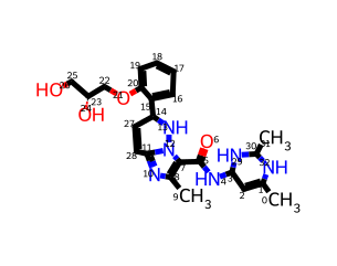 CC1=CC(NC(=O)c2c(C)nc3n2NC(c2ccccc2OC[C@H](O)CO)C=C3)NC(C)N1